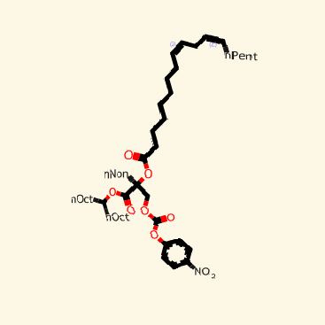 CCCCC/C=C\C/C=C\CCCCCCCC(=O)OC(CCCCCCCCC)(COC(=O)Oc1ccc([N+](=O)[O-])cc1)C(=O)OC(CCCCCCCC)CCCCCCCC